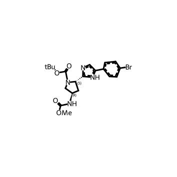 COC(=O)N[C@@H]1C[C@@H](c2ncc(-c3ccc(Br)cc3)[nH]2)N(C(=O)OC(C)(C)C)C1